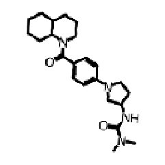 CN(C)C(=O)NC1CCN(c2ccc(C(=O)N3CCCC4CCCCC43)cc2)C1